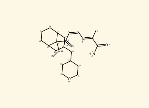 C=C(/C=C\N=C(/C)C(N)=O)C1(OC)C2CCCC1CN(CC1CCOCC1)C2